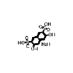 O=S(=O)(O)c1cc2cc(S(=O)(=O)O)c(O)cc2cc1O.[NaH]